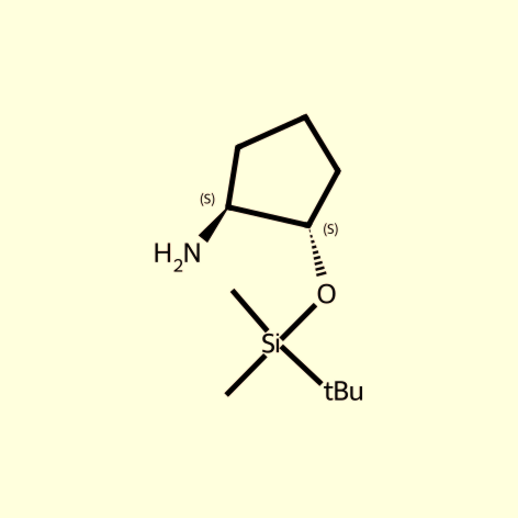 CC(C)(C)[Si](C)(C)O[C@H]1CCC[C@@H]1N